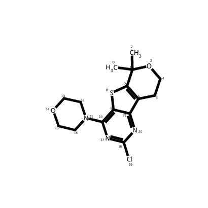 CC1(C)OCCc2c1sc1c(N3CCOCC3)nc(Cl)nc21